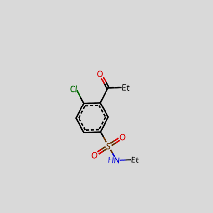 CCNS(=O)(=O)c1ccc(Cl)c(C(=O)CC)c1